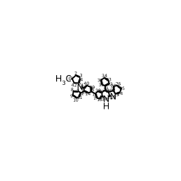 CC1C=CC=C(n2c3ccccc3c3cc(-c4ccc5[nH]c6nc7ccccc7c-6c(-c6ccccc6)c5c4)ccc32)C1